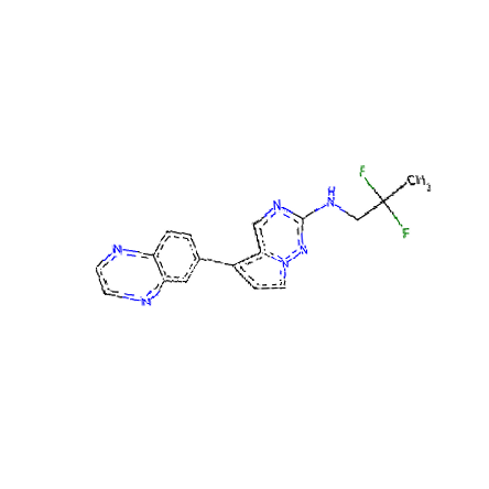 CC(F)(F)CNc1ncc2c(-c3ccc4nccnc4c3)ccn2n1